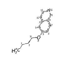 CCCCOc1ccc2cn[c]cc2c1